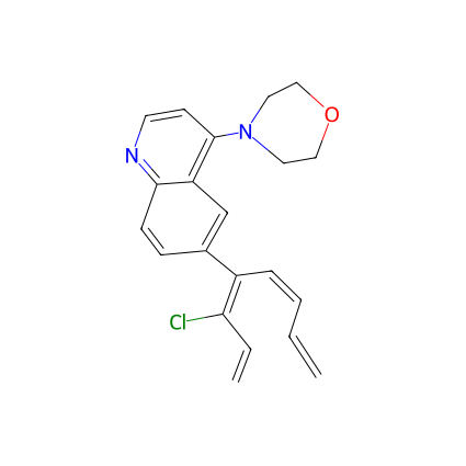 C=C/C=C\C(=C(\Cl)C=C)c1ccc2nccc(N3CCOCC3)c2c1